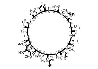 CC[C@H]1NC(=O)[C@H]([C@H](OC(C)=O)[C@H](C)CC=O)N(C)C(=O)[C@@H](C(C)C)N(C)C(=O)[C@@H](CCC(C)C)N(C)C(=O)[C@@H](CC(C)C)N(C)C(=O)[C@H](C)NC(=O)[C@@H](C)NC(=O)[C@@H](CC(C)C)N(C)C(=O)[C@@H](C(C)C)NC(=O)[C@H](CC(C)C)N(C)C(=O)CN(C)C1=O